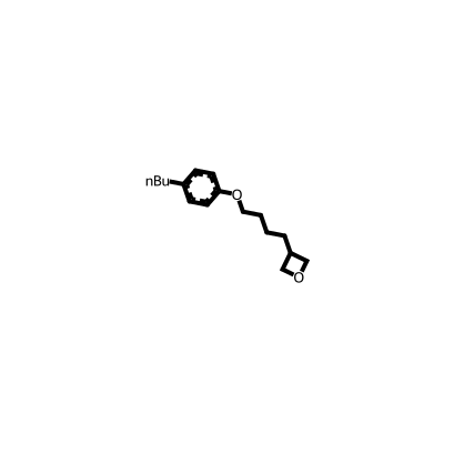 CCCCc1ccc(OCCCCC2COC2)cc1